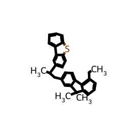 CCc1cccc2c1-c1ccc(CC(C)c3ccc4sc5ccccc5c4c3)cc1C2(C)C